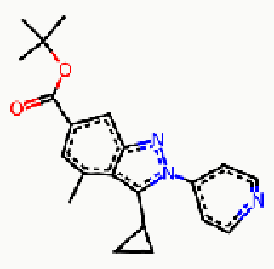 Cc1cc(C(=O)OC(C)(C)C)cc2nn(-c3ccncc3)c(C3CC3)c12